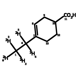 [2H]C([2H])([2H])C([2H])([2H])C1=CCC(C(=O)O)CC1